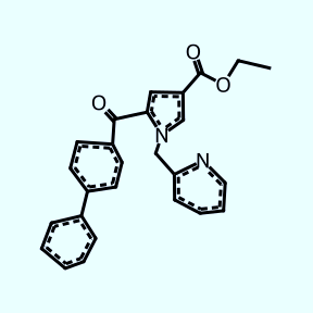 CCOC(=O)c1cc(C(=O)c2ccc(-c3ccccc3)cc2)n(Cc2ccccn2)c1